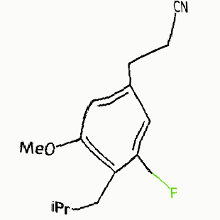 COc1cc(CCC#N)cc(F)c1CC(C)C